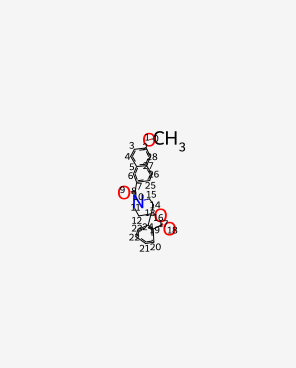 COc1ccc2cc(C(=O)N3CCC4(CC3)OC(=O)c3ccccc34)ccc2c1